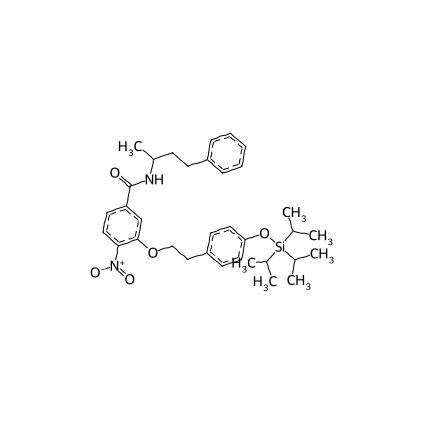 CC(CCc1ccccc1)NC(=O)c1ccc([N+](=O)[O-])c(OCCc2ccc(O[Si](C(C)C)(C(C)C)C(C)C)cc2)c1